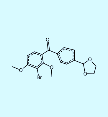 COc1ccc(C(=O)c2ccc(C3OCCO3)cc2)c(OC)c1Br